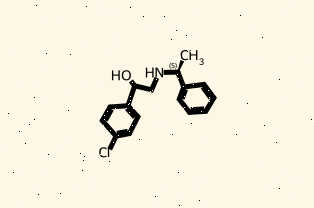 C[C@H](NCC(O)c1ccc(Cl)cc1)c1ccccc1